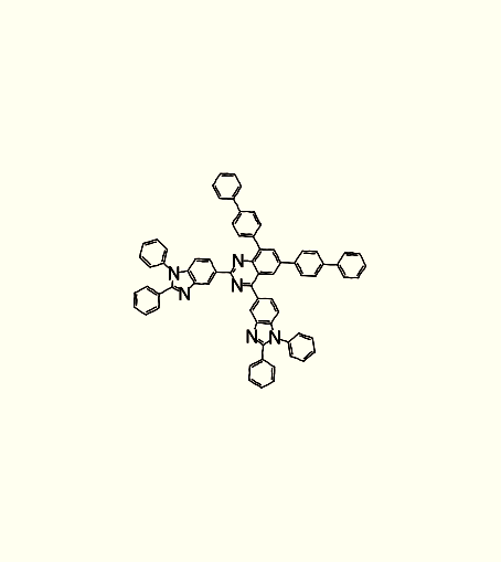 c1ccc(-c2ccc(-c3cc(-c4ccc(-c5ccccc5)cc4)c4nc(-c5ccc6c(c5)nc(-c5ccccc5)n6-c5ccccc5)nc(-c5ccc6c(c5)nc(-c5ccccc5)n6-c5ccccc5)c4c3)cc2)cc1